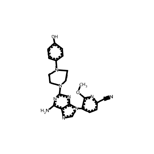 COc1nc(C#N)ccc1-n1cnc2c(N)nc(N3CCN(c4ccc(O)cc4)CC3)nc21